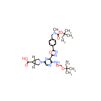 CN(Cc1ccc(-c2nnc(-c3nc(N4C[C@@H]5C(C(=O)O)[C@@H]5C4)cnc3NOCOC(C)(C)C)o2)cc1)C(=O)OC(C)(C)C